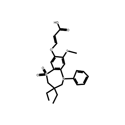 CCC1(CC)CN(c2ccccc2)c2cc(SC)c(O/C=C/C(=O)O)cc2S(=O)(=O)C1